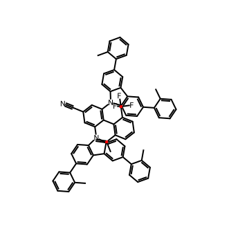 C=C(C)c1cccc(C(F)(F)F)c1-c1c(-n2c3ccc(-c4ccccc4C)cc3c3cc(-c4ccccc4C)ccc32)cc(C#N)cc1-n1c2ccc(-c3ccccc3C)cc2c2cc(-c3ccccc3C)ccc21